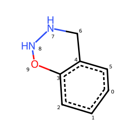 c1ccc2c(c1)CNNO2